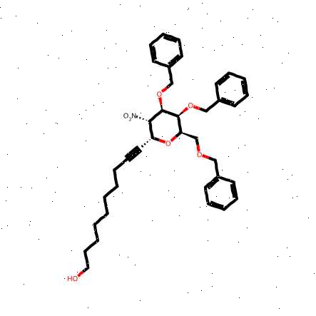 O=[N+]([O-])[C@@H]1[C@@H](OCc2ccccc2)[C@@H](OCc2ccccc2)[C@@H](COCc2ccccc2)O[C@@H]1C#CCCCCCCCCO